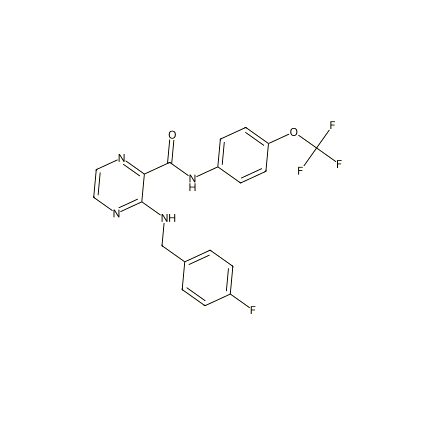 O=C(Nc1ccc(OC(F)(F)F)cc1)c1nccnc1NCc1ccc(F)cc1